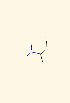 CC(SN=O)N(C)C